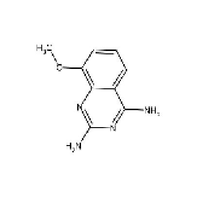 COc1cccc2c(N)nc(N)nc12